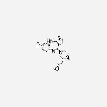 COCCC1CN(C2=Nc3ccc(F)cc3Nc3sccc32)CCN1C